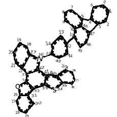 c1ccc2c(c1)-c1cccc3c(-c4ccc(-n5c6ccccc6c6c7oc8ccccc8c7c7sc8ccccc8c7c65)cc4)ccc-2c13